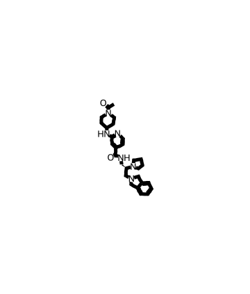 CC(=O)N1CCC(Nc2cc(C(=O)NC[C@@H](CN3Cc4ccccc4C3)N3CCCC3)ccn2)CC1